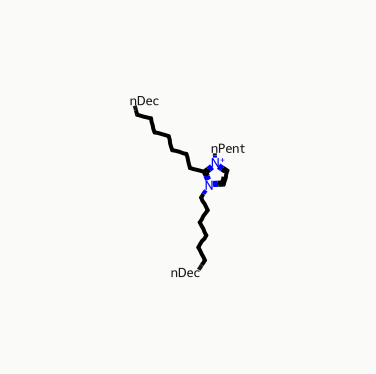 CCCCCCCCCCCCCCCCCc1n(CCCCCCCCCCCCCCCC)cc[n+]1CCCCC